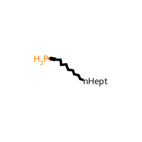 CCCCCCCCCCCCCCCC#CP